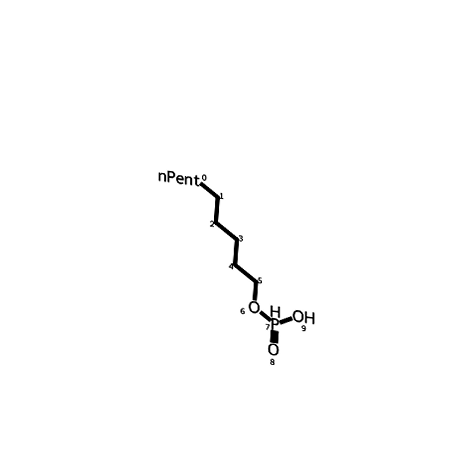 CCCCCCCCCCO[PH](=O)O